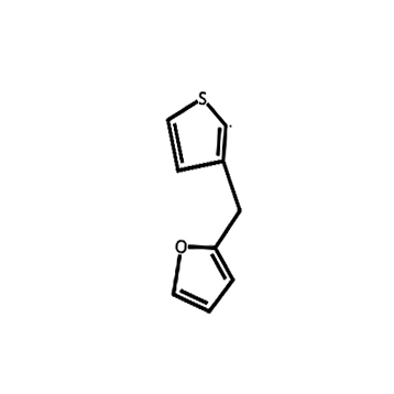 [c]1sccc1Cc1ccco1